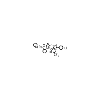 O=C(NCc1ccccn1)c1ccccc1-n1cnc(Cn2nc(-c3ccc(Cl)cc3)n(C[C@H](O)C(F)(F)F)c2=O)n1